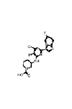 O=C(O)N1CCC[C@@H](Nc2nc(-c3cnc4ccc(F)cn34)nc(Cl)c2F)C1